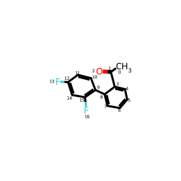 CC(=O)c1ccccc1-c1ccc(F)cc1F